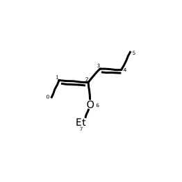 C/C=C(/C=C/C)OCC